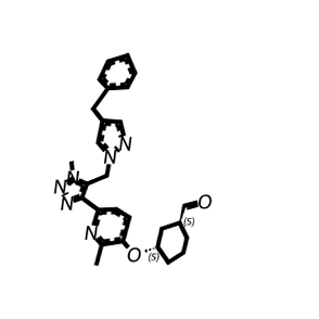 Cc1nc(-c2nnn(C)c2Cn2cc(Cc3ccccc3)cn2)ccc1O[C@H]1CCC[C@H](C=O)C1